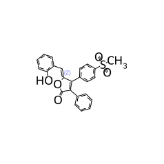 CS(=O)(=O)c1ccc(C2=C(c3ccccc3)C(=O)O/C2=C\c2ccccc2O)cc1